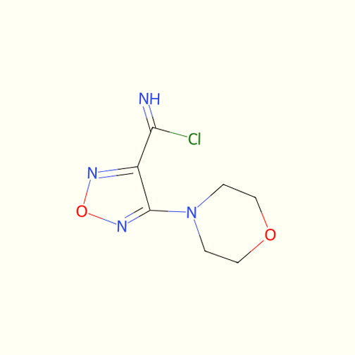 N=C(Cl)c1nonc1N1CCOCC1